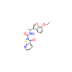 CCOc1cccc2c(C(C)NC(=O)n3sc4ncccc4c3=O)coc12